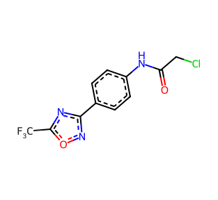 O=C(CCl)Nc1ccc(-c2noc(C(F)(F)F)n2)cc1